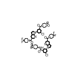 O=C(NC1CCS(=O)(=O)CC1)c1cc(Cl)cc(-n2ccc3cc(C(=O)N4CCC(F)(F)CC4)cnc32)c1.O=C(c1cnc2c(ccn2-c2cc(Cl)cc(C(=O)N3CCS(=O)(=O)CC3)c2)c1)N1CCC(F)(F)CC1